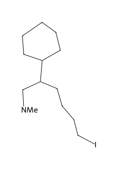 CNCC(CCCCI)C1CCCCC1